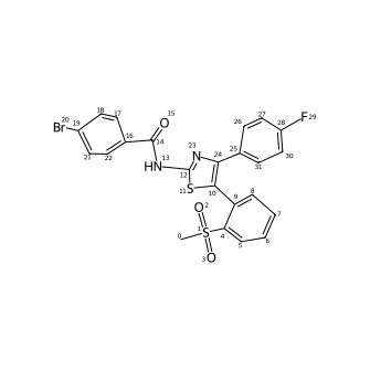 CS(=O)(=O)c1ccccc1-c1sc(NC(=O)c2ccc(Br)cc2)nc1-c1ccc(F)cc1